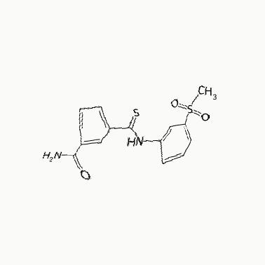 CS(=O)(=O)c1cccc(NC(=S)c2cccc(C(N)=O)c2)c1